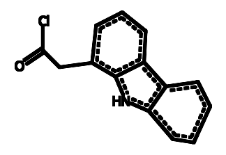 O=C(Cl)Cc1cccc2c1[nH]c1ccccc12